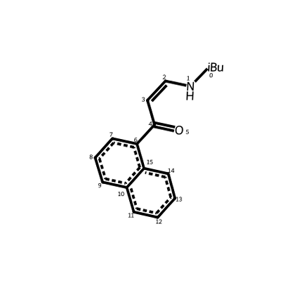 CCC(C)N/C=C\C(=O)c1cccc2ccccc12